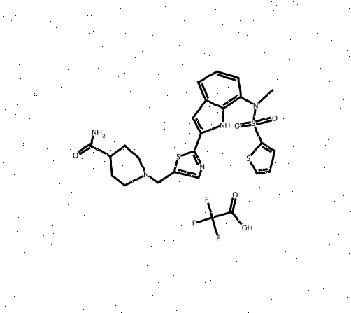 CN(c1cccc2cc(-c3ncc(CN4CCC(C(N)=O)CC4)s3)[nH]c12)S(=O)(=O)c1cccs1.O=C(O)C(F)(F)F